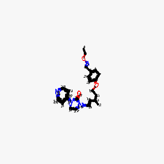 CCO/N=C/c1ccc(OCCC(C)CCN2CCN(c3ccncc3)C2=O)cc1